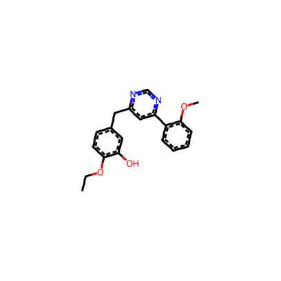 CCOc1ccc(Cc2cc(-c3ccccc3OC)ncn2)cc1O